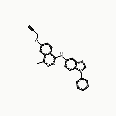 C#CCOc1ccc2c(Nc3ccc4c(c3)ncn4-c3ccccc3)nnc(C)c2c1